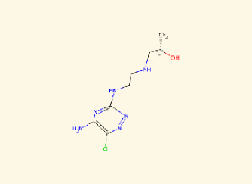 Nc1nc(NCCNC[C@@H](O)C(F)(F)F)nnc1Cl